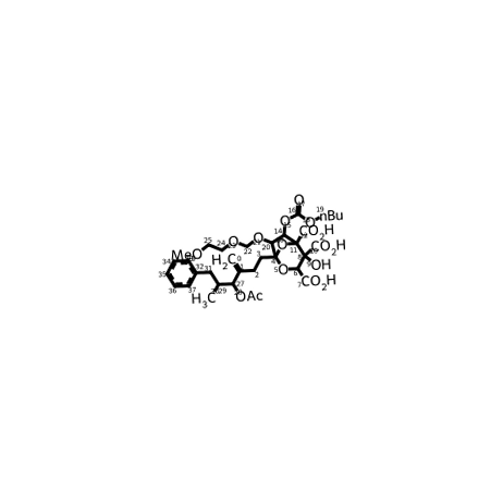 C=C(CCC12OC(C(=O)O)C(O)(C(=O)O)C(C(=O)O)(O1)C(OC(=O)OCCCC)C2OCOCCOC)C(OC(C)=O)C(C)Cc1ccccc1